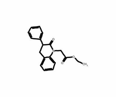 CCOC(=O)CN1C(=O)C(c2ccccc2)Cc2ccccc21